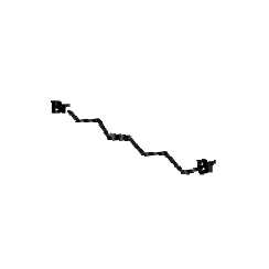 BrCCC=CCCCBr